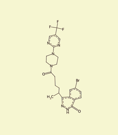 CC(CCCC(=O)N1CCN(c2ncc(C(F)(F)F)cn2)CC1)c1n[nH]c(=O)c2ccc(Br)cc12